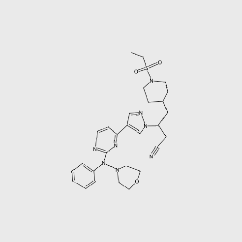 CCS(=O)(=O)N1CCC(CC(CC#N)n2cc(-c3ccnc(N(c4ccccc4)N4CCOCC4)n3)cn2)CC1